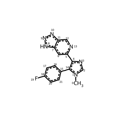 Cn1cnc(-c2cc3[nH]nnc3cn2)c1-c1ccc(F)cc1